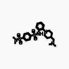 CN(C)CC1CCN(c2ccccc2NS(=O)(=O)c2ccc(S(=O)(=O)N(C)C)cc2)CC1